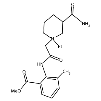 CC[N+]1(CC(=O)Nc2c(C)cccc2C(=O)OC)CCCC(C(N)=O)C1